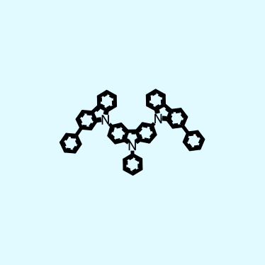 c1ccc(-c2ccc3c4ccccc4n(-c4ccc5c(c4)c4cc(-n6c7ccccc7c7ccc(-c8ccccc8)cc76)ccc4n5-c4ccccc4)c3c2)cc1